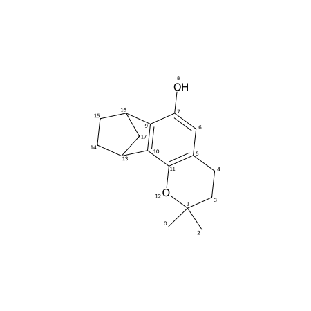 CC1(C)CCc2cc(O)c3c(c2O1)C1CCC3C1